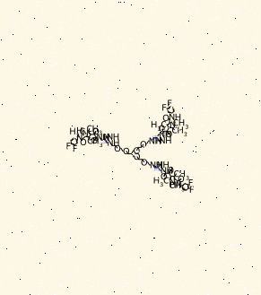 Cc1c(C(=O)C(=O)NC/C(N)=C/NCCOCCOCC(COCCOCCN/C=C(/CNC(=O)C(=O)c2c(C)c(C(=O)Nc3ccc(F)c(F)c3)n(C)c2C)N=N)COCCOCCN/C=C(/CNC(=O)C(=O)c2c(C)c(C(=O)Nc3ccc(F)c(F)c3)n(C)c2C)N=N)c(C)n(C)c1C(=O)Nc1ccc(F)c(F)c1